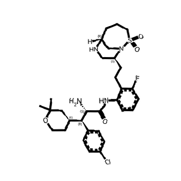 CC1(C)C[C@@H]([C@H](c2ccc(Cl)cc2)[C@H](N)C(=O)Nc2cccc(F)c2CC[C@H]2CN[C@@H]3CCCS(=O)(=O)N2C3)CCO1